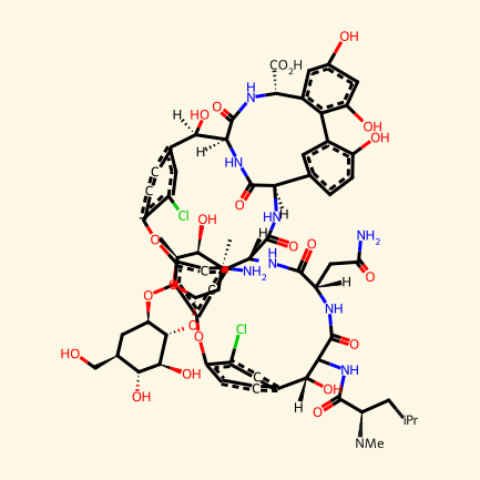 CN[C@H](CC(C)C)C(=O)NC1C(=O)N[C@@H](CC(N)=O)C(=O)N[C@H]2C(=O)N[C@H]3C(=O)N[C@H](C(=O)N[C@H](C(=O)O)c4cc(O)cc(O)c4-c4cc3ccc4O)[C@H](O)c3ccc(c(Cl)c3)Oc3cc2cc(c3O[C@@H]2C[C@H](CO)[C@@H](O)[C@H](O)[C@H]2O[C@H]2C[C@](C)(N)[C@H](O)[C@H](C)O2)Oc2ccc(cc2Cl)[C@H]1O